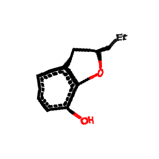 CCC1Cc2cccc(O)c2O1